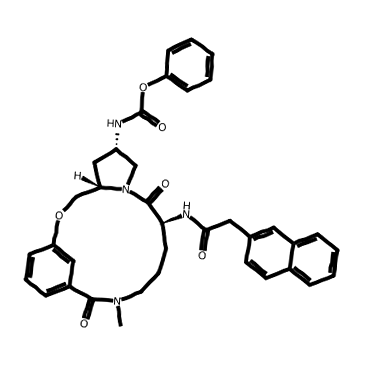 CN1CCC[C@H](NC(=O)Cc2ccc3ccccc3c2)C(=O)N2C[C@@H](NC(=O)Oc3ccccc3)C[C@H]2COc2cccc(c2)C1=O